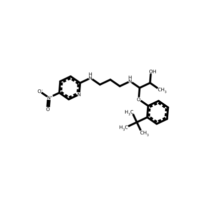 CC(O)C(NCCCNc1ccc([N+](=O)[O-])cn1)Oc1ccccc1C(C)(C)C